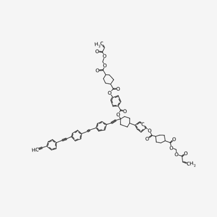 C#Cc1ccc(C#Cc2ccc(C#Cc3ccc(C#CC4(OC(=O)c5ccc(OC(=O)C6CCC(C(=O)OCOC(=O)C=C)CC6)cc5)CCC(c5ccc(OC(=O)C6CCC(C(=O)OCOC(=O)C=C)CC6)cc5)CC4)cc3)cc2)cc1